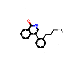 CCCCc1ccccc1-c1c[nH]c(=O)c2ccccc12